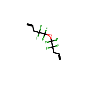 C=CCC(F)(F)C(F)(F)OC(F)(F)C(F)(F)CC=C